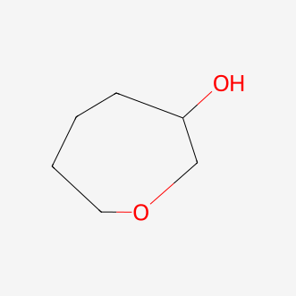 OC1CCCCOC1